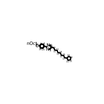 CCCCCCCCOc1ccc(-c2ncc(CCCCCCCCC3CCCC3)cn2)cc1